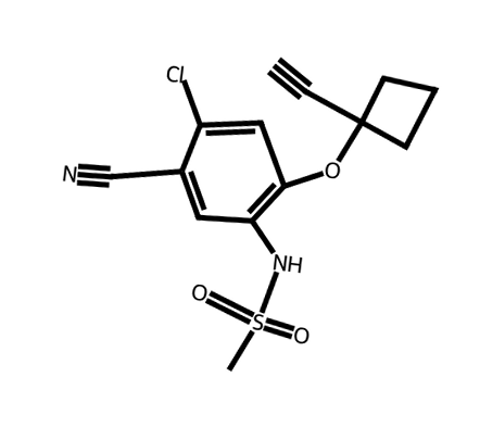 C#CC1(Oc2cc(Cl)c(C#N)cc2NS(C)(=O)=O)CCC1